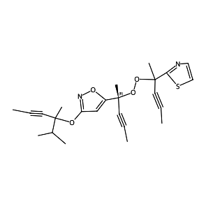 CC#CC(C)(OO[C@](C)(C#CC)c1cc(OC(C)(C#CC)C(C)C)no1)c1nccs1